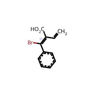 C=C/C(C(=O)O)=C(/Br)c1ccccc1